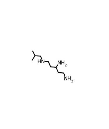 CC(C)CNCCC(N)CCN